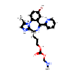 CCNCOC(=O)OCCC[C@@H]1N=C(c2ccccn2)c2cc(Br)ccc2-n2c(C)cnc21